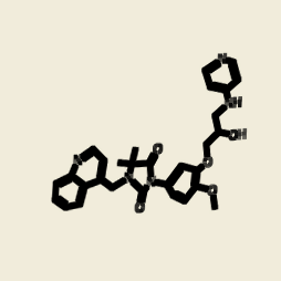 COc1ccc(N2C(=O)N(Cc3ccnc4ccccc34)C(C)(C)C2=O)cc1OCC(O)CNc1ccncc1